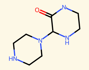 O=C1[N]CCNC1N1CCNCC1